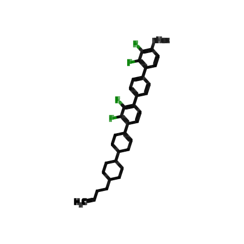 C=CCCC1CCC(C2CC=C(c3ccc(-c4ccc(-c5ccc(CCCCCC)c(F)c5F)cc4)c(F)c3F)CC2)CC1